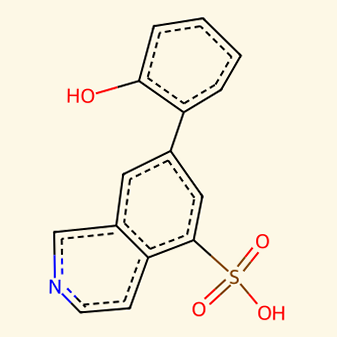 O=S(=O)(O)c1cc(-c2ccccc2O)cc2cnccc12